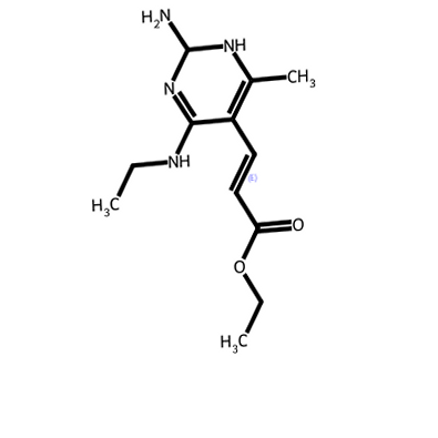 CCNC1=NC(N)NC(C)=C1/C=C/C(=O)OCC